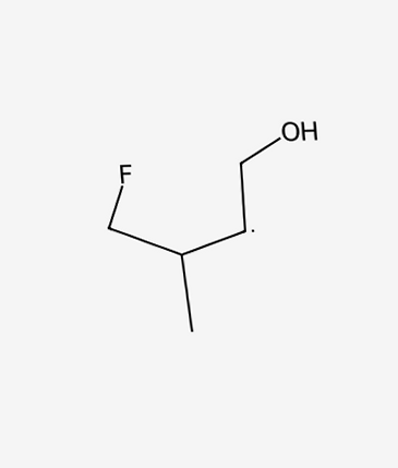 CC([CH]CO)CF